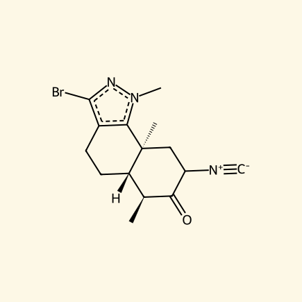 [C-]#[N+]C1C[C@]2(C)c3c(c(Br)nn3C)CC[C@H]2[C@H](C)C1=O